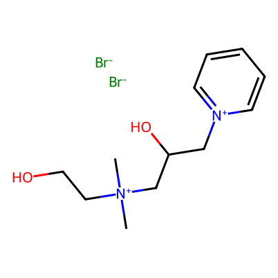 C[N+](C)(CCO)CC(O)C[n+]1ccccc1.[Br-].[Br-]